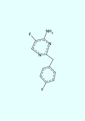 Nc1nc(Cc2ccc(F)cc2)ncc1F